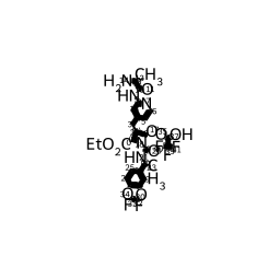 CCOC(=O)[C@@H]1[C@@H](Cc2ccnc(NC(=O)[C@H](C)N)c2)C(=O)N1C(=O)N[C@H](C)c1ccc2c(c1)OC(F)(F)O2.O=C(O)C(F)(F)F